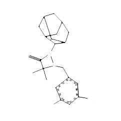 CC1(C)C(=O)N(C2C3CC4CC(C3)CC2C4)N1Cc1cc(F)cc(C(F)(F)F)c1